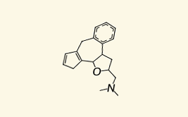 CN(C)CC1CC2c3ccccc3CC3=C(CC=C3)C2O1